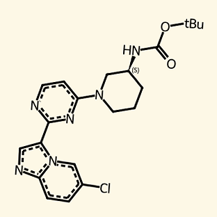 CC(C)(C)OC(=O)N[C@H]1CCCN(c2ccnc(-c3cnc4ccc(Cl)cn34)n2)C1